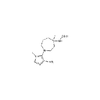 Cn1ncc([N+](=O)[O-])c1N1CCCC(C)(NC(=O)O)CC1